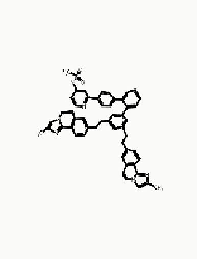 Cc1cn2ccc3cc(CCc4cc(CCc5ccc6c(ccn7cc(C)nc67)c5)cc(-c5ccccc5-c5ccc(-c6cc(OS(=O)(=O)C(F)(F)F)ccn6)cc5)c4)ccc3c2n1